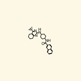 CN(C)c1nc(NC2CCC(NC(=O)c3ccc4ccccc4c3)CC2)nc2c1CCCC2